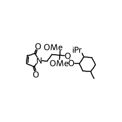 COC(CCN1C(=O)C=CC1=O)(OC)OOC1CC(C)CCC1C(C)C